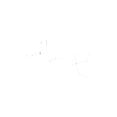 CCC(C)(CC)OOOC(=O)Cl